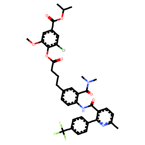 COc1cc(C(=O)OC(C)C)cc(Cl)c1OC(=O)CCCc1ccc(NC(=O)c2ccc(C)nc2-c2ccc(C(F)(F)F)cc2)c(C(=O)N(C)C)c1